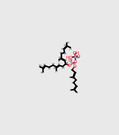 CC(C)=CCC/C(C)=C/COP(=O)(OC(/C=C(\C)CCC=C(C)C)C/C=C(\C)CCC=C(C)C)OP(=O)(O)O